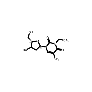 CC(=O)OCn1c(=O)c(C)cn([C@H]2CC(O)[C@@H](CO)O2)c1=O